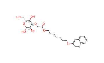 O=C(CO[C@H]1[C@H](O)[C@@H](CO)OC(O)[C@@H]1O)OCCCCCCCOc1ccc2ccccc2c1